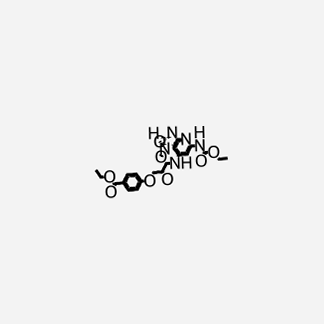 CCOC(=O)Nc1cc(NCC(=O)COc2ccc(C(=O)OCC)cc2)c([N+](=O)[O-])c(N)n1